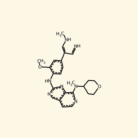 CN/C=C(\C=N)c1ccc(Nc2ncc3ccnc(N(C)C4CCOCC4)c3n2)c(OC)c1